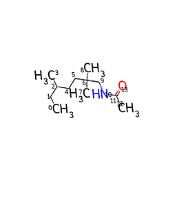 CCC(C)CCC(C)(C)CNC(C)=O